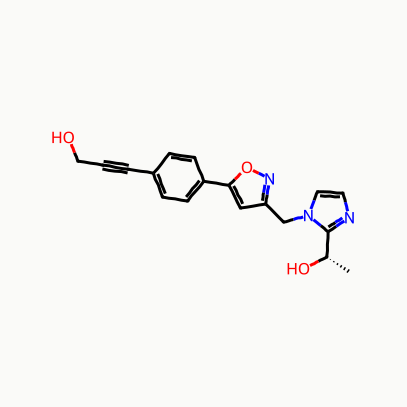 C[C@H](O)c1nccn1Cc1cc(-c2ccc(C#CCO)cc2)on1